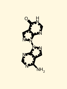 Nc1ncnc2c1cnn2-n1ncc2c(=O)[nH]cnc21